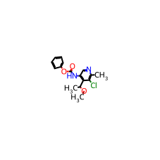 COC(C)c1c(NC(=O)Oc2ccccc2)cnc(C)c1Cl